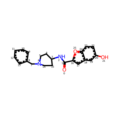 O=C(NC1CCN(Cc2ccccc2)CC1)c1cc2cc(O)ccc2o1